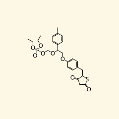 CCOP(=O)(OCC)OCOC(COc1ccc(CC2SC(=O)CC2=O)cc1)c1ccc(C)cc1